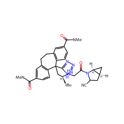 CNC(=O)c1ccc2c(c1)CCc1cc(C(=O)NC)ccc1C2(C[C@@H](NCC(=O)N1C(C#N)C[C@@H]2C[C@@H]21)C(C)(C)C)c1nnn[nH]1